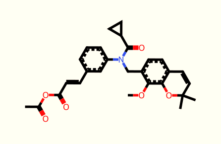 COc1c(CN(C(=O)C2CC2)c2cccc(/C=C/C(=O)OC(C)=O)c2)ccc2c1OC(C)(C)C=C2